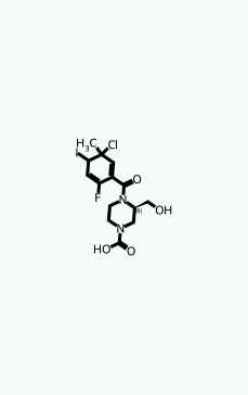 CC1(Cl)C=C(C(=O)N2CCN(C(=O)O)C[C@@H]2CO)C(F)=CC1I